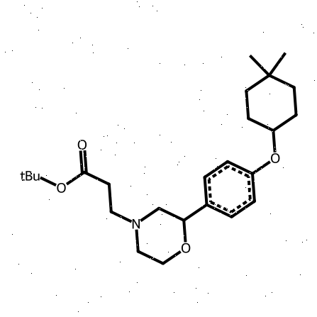 CC1(C)CCC(Oc2ccc(C3CN(CCC(=O)OC(C)(C)C)CCO3)cc2)CC1